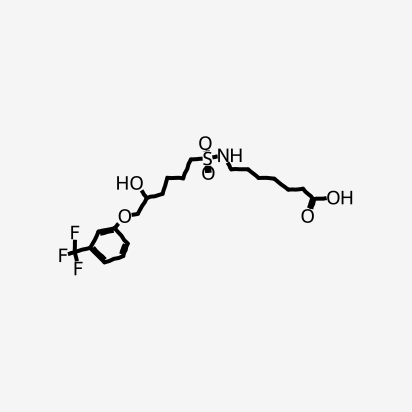 O=C(O)CCCCCCNS(=O)(=O)CCCCC(O)COc1cccc(C(F)(F)F)c1